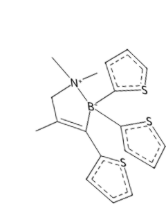 CC1=C(c2cccs2)[B-](c2cccs2)(c2cccs2)[N+](C)(C)C1